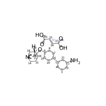 Nc1cccc(-c2ccc(O[C@H]3CN4CCC3CC4)cc2)c1.O=C(O)/C=C/C(=O)O